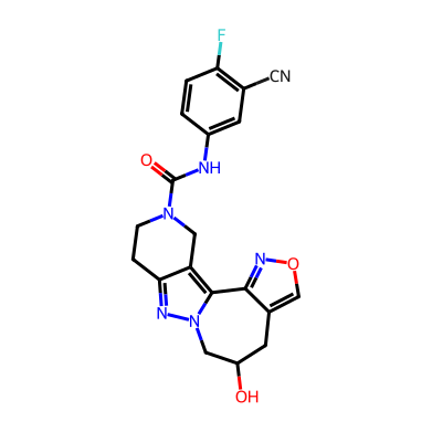 N#Cc1cc(NC(=O)N2CCc3nn4c(c3C2)-c2nocc2CC(O)C4)ccc1F